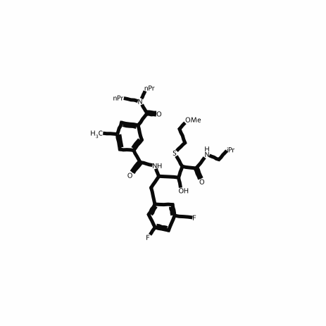 CCCN(CCC)C(=O)c1cc(C)cc(C(=O)NC(Cc2cc(F)cc(F)c2)C(O)C(SCCOC)C(=O)NCC(C)C)c1